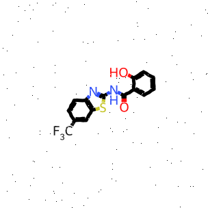 O=C(Nc1nc2ccc(C(F)(F)F)cc2s1)c1ccccc1O